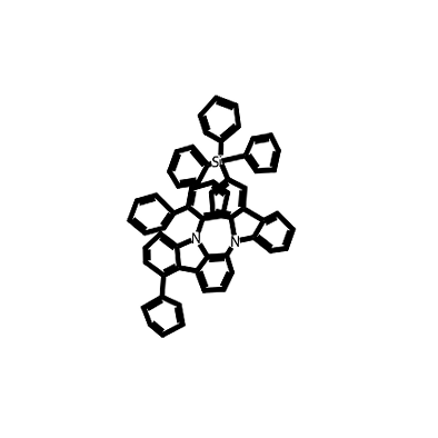 c1ccc(-c2ccccc2-n2c3cccc(-c4ccccc4)c3c3cccc(-n4c5ccccc5c5cc([Si](c6ccccc6)(c6ccccc6)c6ccccc6)ccc54)c32)cc1